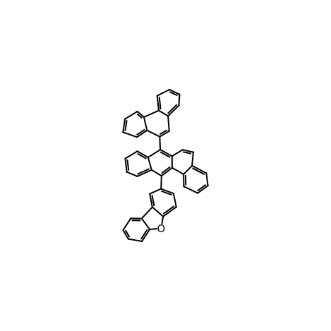 c1ccc2c(c1)cc(-c1c3ccccc3c(-c3ccc4oc5ccccc5c4c3)c3c1ccc1ccccc13)c1ccccc12